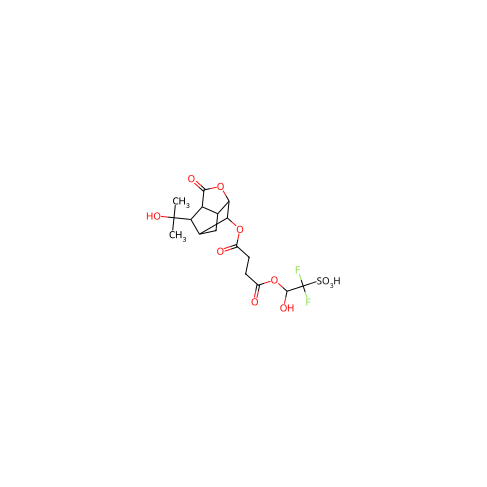 CC(C)(O)C1C2CC3C(OC(=O)C31)C2OC(=O)CCC(=O)OC(O)C(F)(F)S(=O)(=O)O